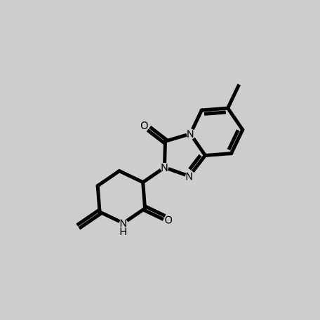 C=C1CCC(n2nc3ccc(C)cn3c2=O)C(=O)N1